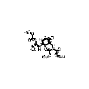 CC/N=C(/NC(=O)OC(C)(C)C)Nc1ccc(Cl)c(CN(C(=O)OC(C)(C)C)C(=O)OC(C)(C)C)c1